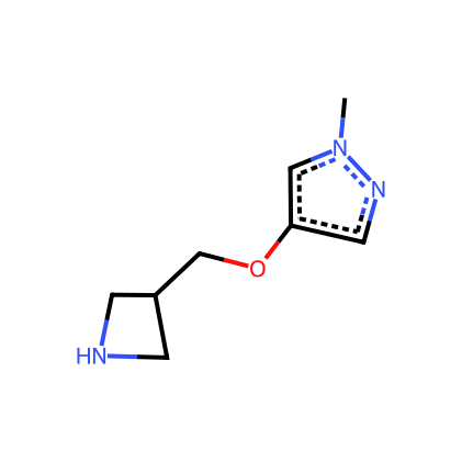 Cn1cc(OCC2CNC2)cn1